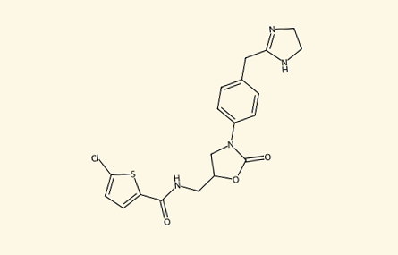 O=C(NCC1CN(c2ccc(CC3=NCCN3)cc2)C(=O)O1)c1ccc(Cl)s1